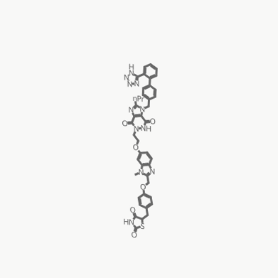 CCCc1nc2c(=O)n(CCOc3ccc4nc(COc5ccc(CC6SC(=O)NC6=O)cc5)n(C)c4c3)[nH]c(=O)c2n1Cc1ccc(-c2ccccc2-c2nnn[nH]2)cc1